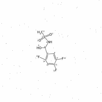 CS(=O)(=O)NC(O)c1cc(F)c(F)cc1F